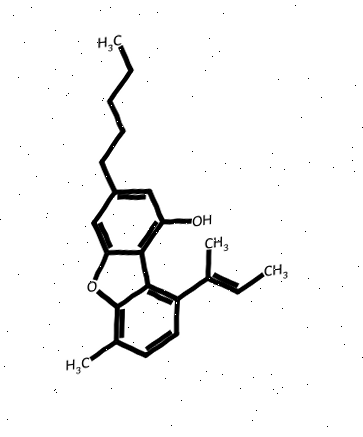 C/C=C(\C)c1ccc(C)c2oc3cc(CCCCC)cc(O)c3c12